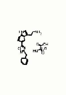 NCCc1c[nH]c2ccc(-c3nc(Cc4ccccc4)no3)cc12.O.O=C(O)C(=O)O